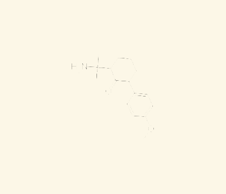 COc1ccc(C2CCCC(C(C)(C)N)C2=O)cc1